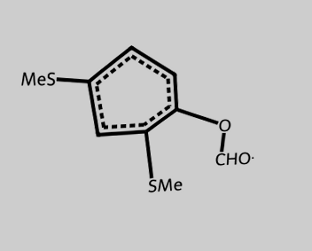 CSc1ccc(O[C]=O)c(SC)c1